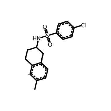 Cc1[c]c2c(cc1)CC(NS(=O)(=O)c1ccc(Cl)cc1)CC2